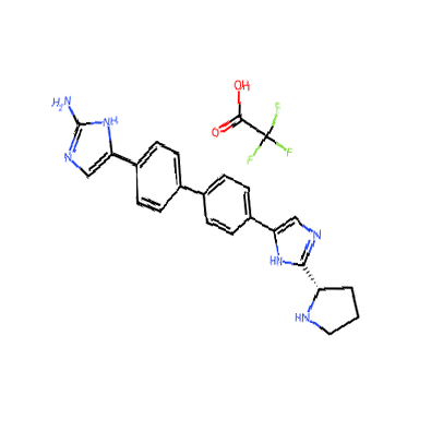 Nc1ncc(-c2ccc(-c3ccc(-c4cnc([C@@H]5CCCN5)[nH]4)cc3)cc2)[nH]1.O=C(O)C(F)(F)F